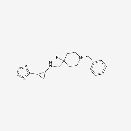 FC1(CNC2CC2c2nccs2)CCN(Cc2ccccc2)CC1